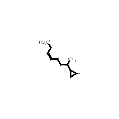 CC(CC/C=C\CC(=O)O)C1CC1